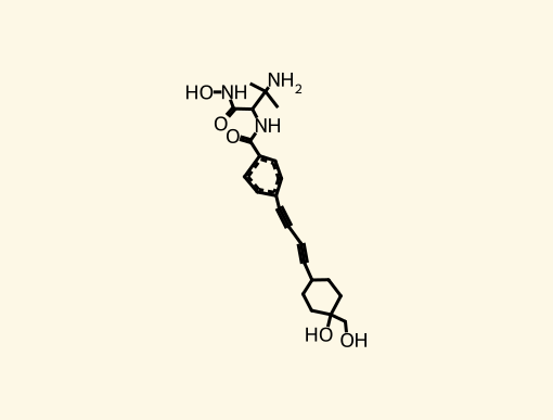 CC(C)(N)C(NC(=O)c1ccc(C#CC#CC2CCC(O)(CO)CC2)cc1)C(=O)NO